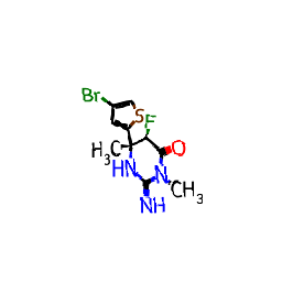 CN1C(=N)N[C@](C)(c2cc(Br)cs2)[C@@H](F)C1=O